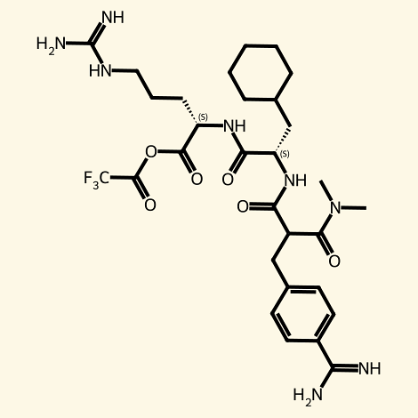 CN(C)C(=O)C(Cc1ccc(C(=N)N)cc1)C(=O)N[C@@H](CC1CCCCC1)C(=O)N[C@@H](CCCNC(=N)N)C(=O)OC(=O)C(F)(F)F